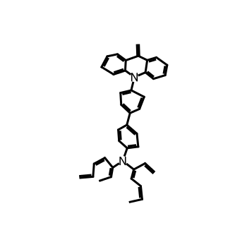 C=C/C=C\C(=C/C)N(/C(C=C)=C/C=C\C)c1ccc(-c2ccc(N3c4ccccc4C(=C)c4ccccc43)cc2)cc1